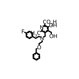 Cc1nc(C(=O)O)c(O)c(CO)c1CN(CCOCc1ccccc1)CCc1ccc(F)cc1